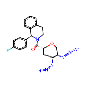 [N-]=[N+]=N[C@H]1C[C@H](C(=O)N2CCc3ccccc3[C@@H]2c2ccc(F)cc2)OC[C@H]1N=[N+]=[N-]